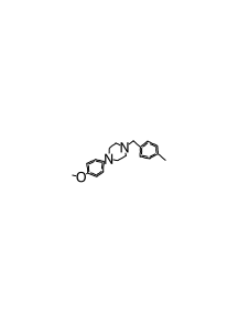 COc1ccc(N2CCN(Cc3ccc(C)cc3)CC2)cc1